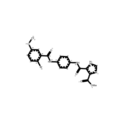 COC(=O)c1nc[nH]c1C(=O)Nc1ccc(NC(=O)c2cc(OC(F)(F)F)ccc2Br)cc1